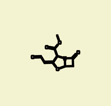 COC(=O)C1/C(=C\C=O)OC2CC(=O)N21